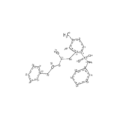 Cc1ccc(S(=O)(=O)Nc2ccccc2)c(CC(O)COCc2ccccc2)c1